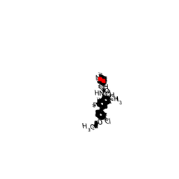 CCCOc1ccc(-c2cc3c(cc2F)[C@H](NC(=O)O[C@@H]2CN4CCC2CC4)C(C)(C)C3)cc1Cl